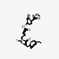 CCc1ccc(CC2SC(=O)N(CCCC(=O)Nc3ccc(-c4nnn[nH]4)c(O)c3)C2=O)cc1